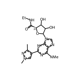 CCNC(=O)[C@@H]1OC(n2cnc3c(NC)nc(-c4cn(C)nc4C)nc32)C(O)C1O